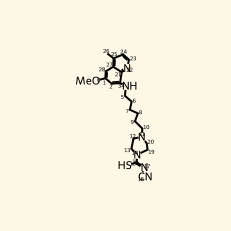 COc1cc(NCCCCCCN2CCN(/C(S)=N/C#N)CC2)c2nccc(C)c2c1